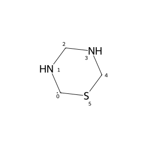 [CH]1NCNCS1